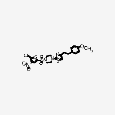 COc1ccc(CCc2csc(N3CCN(S(=O)(=O)c4cc([N+](=O)[O-])c(Cl)s4)CC3)n2)cc1